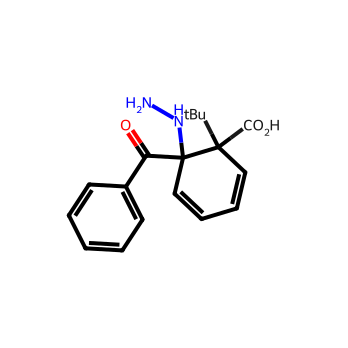 CC(C)(C)C1(C(=O)O)C=CC=CC1(NN)C(=O)c1ccccc1